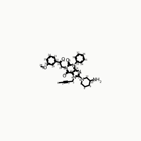 CC#CCn1c(N2CCCC(N)C2)nc2c1c(=O)n(CC(=O)c1cccc(OC)c1)c(=O)n2-c1ccccc1